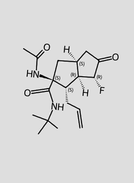 C=CC[C@H]1[C@H]2[C@H](CC(=O)[C@@H]2F)C[C@@]1(NC(C)=O)C(=O)NC(C)(C)C